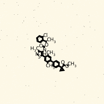 COC(=O)C1(c2ccc(-c3cc(C)c(-c4snc(C)c4NC(=O)O[C@H](C)c4ccccc4Cl)cc3C)cc2)CC1